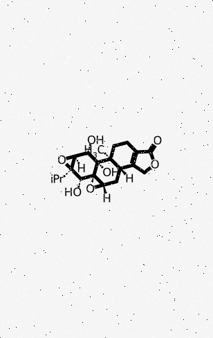 CC(C)[C@]12O[C@H]1[C@H](O)[C@]1(O)[C@]3(O[C@H]3C[C@H]3C4=C(CC[C@@]31C)C(=O)OC4)[C@@H]2O